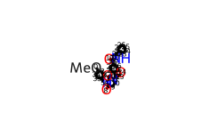 COc1ccc(CN2C(=O)CCN(c3coc4cc(C(=O)NCc5ccccc5)ccc34)C2=O)cc1